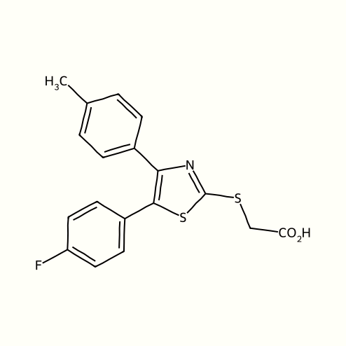 Cc1ccc(-c2nc(SCC(=O)O)sc2-c2ccc(F)cc2)cc1